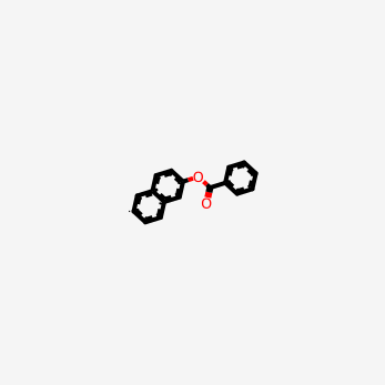 O=C(Oc1ccc2c[c]ccc2c1)c1ccccc1